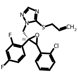 C=CCSc1ncnn1C[C@]1(c2ccc(F)cc2F)OC1c1ccccc1Cl